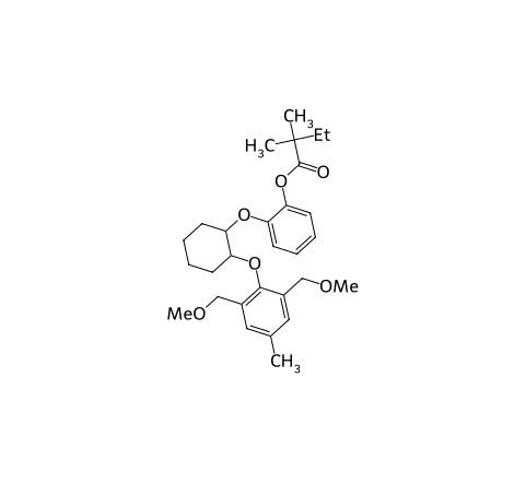 CCC(C)(C)C(=O)Oc1ccccc1OC1CCCCC1Oc1c(COC)cc(C)cc1COC